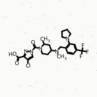 CC1CC(N(C)Cc2ccc(C(F)(F)F)cc2N2CCCC2)CCN1C(=O)n1cc(Cl)c(C(=O)O)n1